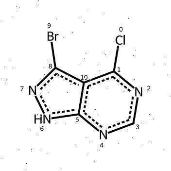 Clc1ncnc2[nH]nc(Br)c12